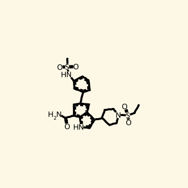 CCS(=O)(=O)N1CCC(c2c[nH]c3c(C(N)=O)cc(-c4cccc(NS(C)(=O)=O)c4)cc23)CC1